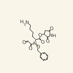 NCCCC[C@@H](C(=O)OC1CC(=O)NC1=O)N(OCc1ccccc1)C(=O)C=O